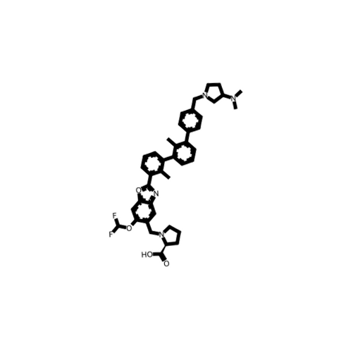 Cc1c(-c2ccc(CN3CCC(N(C)C)C3)cc2)cccc1-c1cccc(-c2nc3cc(CN4CCC[C@H]4C(=O)O)c(OC(F)F)cc3o2)c1C